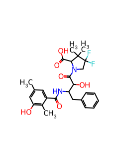 Cc1cc(O)c(C)c(C(=O)NC(Cc2ccccc2)C(O)C(=O)N2CC(F)(F)C(C)(C)C2C(=O)O)c1